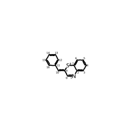 C1=Nc2ccccc2SC1=Cc1ccccc1